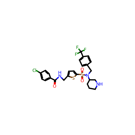 O=C(NCc1ccc(S(=O)(=O)N(Cc2ccc(C(F)(F)F)cc2)C2CCCNC2)s1)c1ccc(Cl)cc1